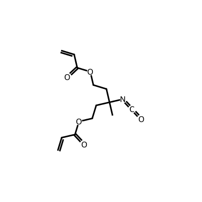 C=CC(=O)OCCC(C)(CCOC(=O)C=C)N=C=O